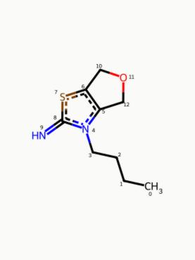 CCCCn1c2c(sc1=N)COC2